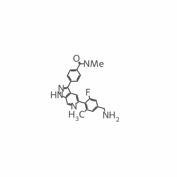 CNC(=O)c1ccc(-c2n[nH]c3cnc(-c4c(C)cc(CN)cc4F)cc23)cc1